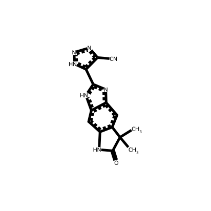 CC1(C)C(=O)Nc2cc3[nH]c(-c4[nH]nnc4C#N)nc3cc21